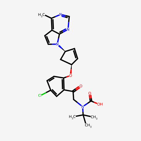 Cc1ncnc2c1ccn2[C@H]1C=C[C@@H](Oc2ccc(Cl)cc2C(=O)CN(C(=O)O)C(C)(C)C)C1